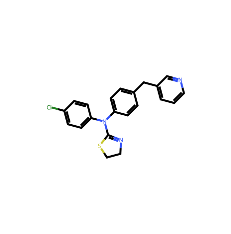 Clc1ccc(N(C2=NCCS2)c2ccc(Cc3cccnc3)cc2)cc1